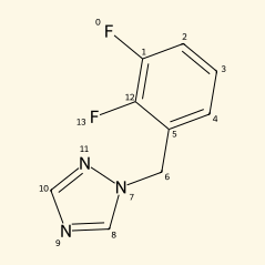 Fc1cccc(Cn2cncn2)c1F